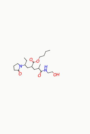 CCCCOC(=O)C(CC(C)C(=O)NCCO)CC(CC)N1CCCC1=O